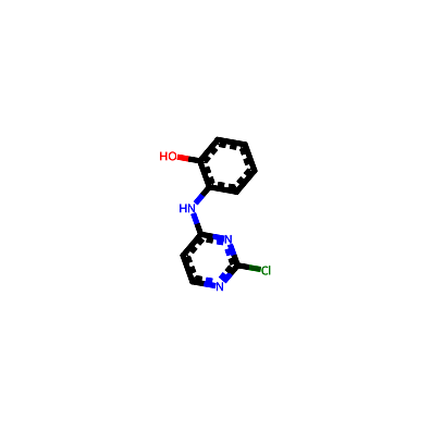 Oc1ccccc1Nc1ccnc(Cl)n1